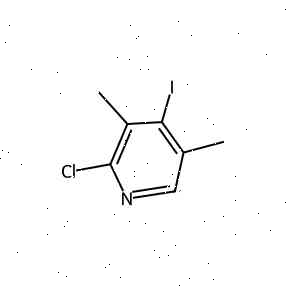 Cc1[c]nc(Cl)c(C)c1I